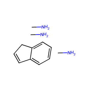 C1=Cc2ccccc2C1.CN.CN.CN